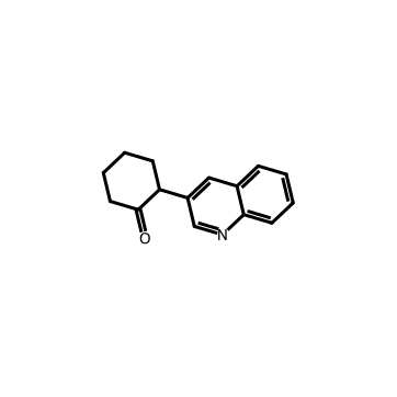 O=C1CCCCC1c1cnc2ccccc2c1